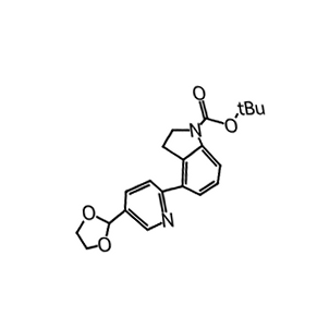 CC(C)(C)OC(=O)N1CCc2c(-c3ccc(C4OCCO4)cn3)cccc21